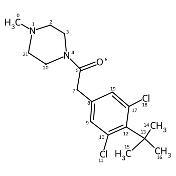 CN1CCN(C(=O)Cc2cc(Cl)c(C(C)(C)C)c(Cl)c2)CC1